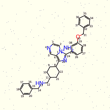 N[N+]12C=CN=CC1=C(C1CCC(CNCc3ccccc3)CC1)N=C2c1cccc(OCc2ccccc2)c1